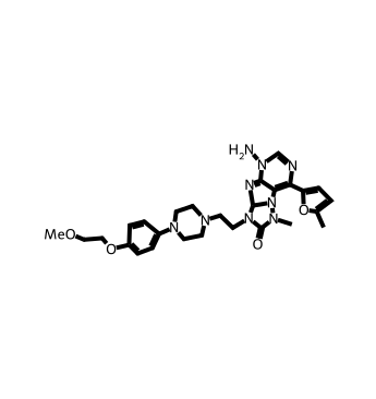 COCCOc1ccc(N2CCN(CCN3C(=O)N(C)N4C5=C(c6ccc(C)o6)N=CN(N)C5=NC34)CC2)cc1